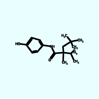 CC(C)C(C)(CC(C)(C)C)C(=O)Nc1ccc(O)cc1